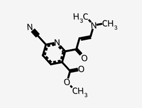 COC(=O)c1ccc(C#N)nc1C(=O)/C=C/N(C)C